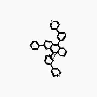 CC12CC=CC=C1C(c1cccc(-c3ccncc3)c1)=c1ccc(-c3ccccc3)cc1=C2c1cccc(-c2ccncc2)c1